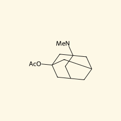 CNC12CC3CC(C1)CC(OC(C)=O)(C3)C2